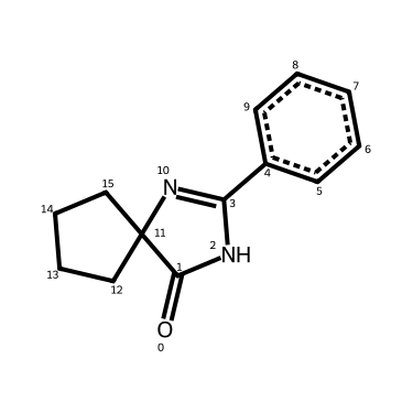 O=C1NC(c2ccccc2)=NC12CCCC2